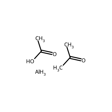 CC(=O)O.CC(C)=O.[AlH3]